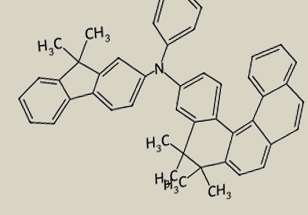 CC1(C)c2ccccc2-c2ccc(N(c3ccccc3)c3ccc4c(c3)C(C)(C)C(C)(C)c3ccc5ccc6ccccc6c5c3-4)cc21